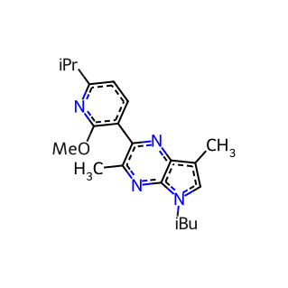 CCC(C)n1cc(C)c2nc(-c3ccc(C(C)C)nc3OC)c(C)nc21